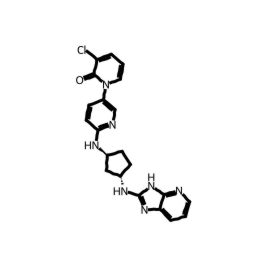 O=c1c(Cl)cccn1-c1ccc(N[C@H]2CC[C@H](Nc3nc4cccnc4[nH]3)C2)nc1